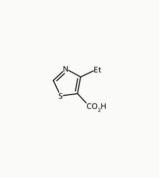 CCc1ncsc1C(=O)O